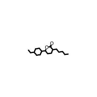 CCCCCC1CCC(C2CCC(CC)CC2)OC1=O